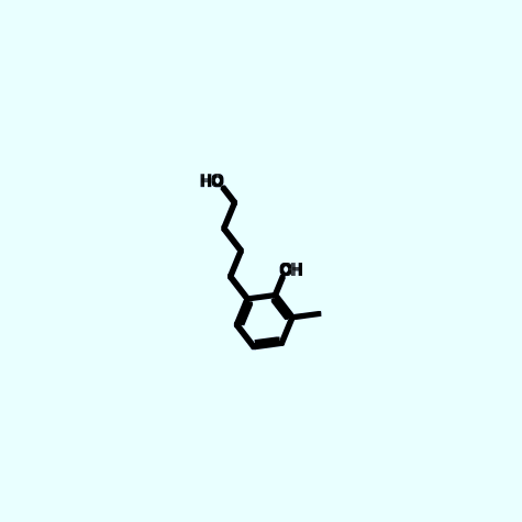 Cc1cccc(CCCCO)c1O